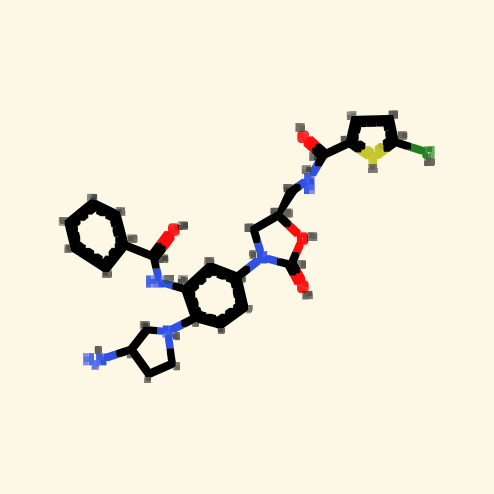 NC1CCN(c2ccc(N3C[C@@H](CNC(=O)c4ccc(Cl)s4)OC3=O)cc2NC(=O)c2ccccc2)C1